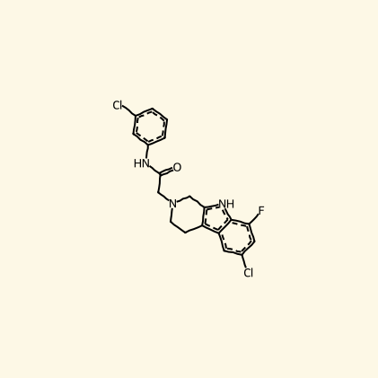 O=C(CN1CCc2c([nH]c3c(F)cc(Cl)cc23)C1)Nc1cccc(Cl)c1